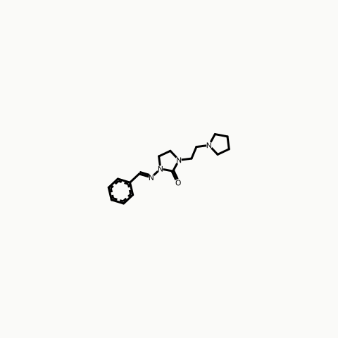 O=C1N(CCN2CCCC2)CCN1N=Cc1ccccc1